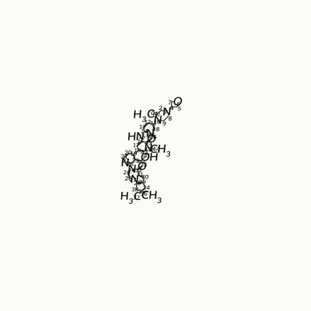 C[C@H]1CN(C2COC2)CCN1c1ccc(Nc2cc(-c3ccnc(-n4ccn5c6c(cc5c4=O)CC(C)(C)C6)c3CO)cn(C)c2=O)nc1